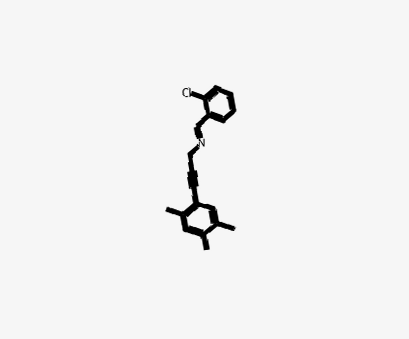 Cc1cc(C)c(C#CC/N=C/c2ccccc2Cl)cc1C